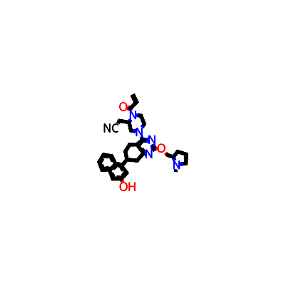 C=CC(=O)N1CCN(c2nc(OCC3CCCN3C)nc3c2CCC(c2cc(O)cc4ccccc24)C3)CC1CC#N